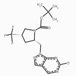 CC(C)(C)OC(=O)N1C[C@@H](C(F)(F)F)C[C@H]1Cn1ncc2cnc(Cl)nc21